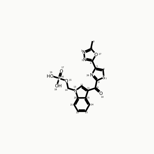 Cc1nnc(-c2csc(C(=O)c3cn(COP(=O)(O)O)c4ccccc34)n2)o1